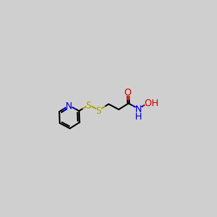 O=C(CCSSc1ccccn1)NO